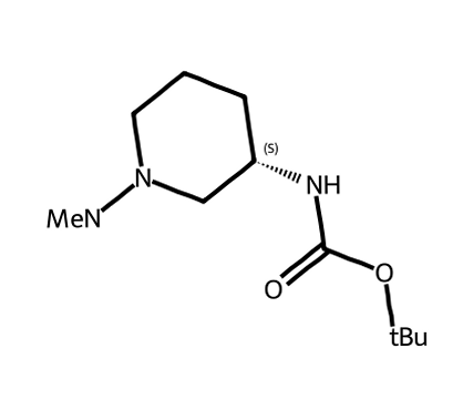 CNN1CCC[C@H](NC(=O)OC(C)(C)C)C1